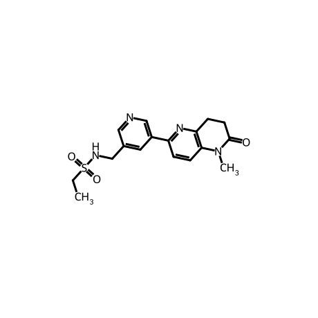 CCS(=O)(=O)NCc1cncc(-c2ccc3c(n2)CCC(=O)N3C)c1